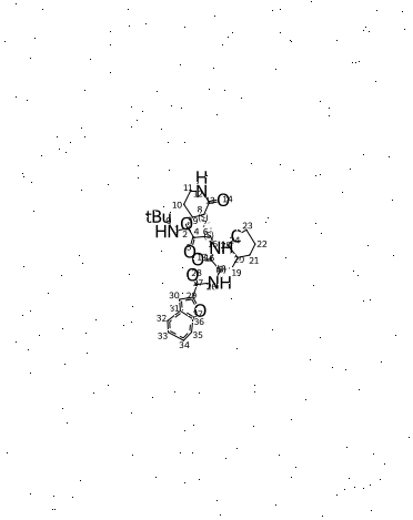 CC(C)(C)NC(=O)C(=O)[C@H](C[C@@H]1CCCNC1=O)NC(=O)[C@H](CC1CCCCC1)NC(=O)c1cc2ccccc2o1